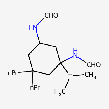 CCCC1(CCC)CC(NC=O)C[C](NC=O)([Ti]([CH3])[CH3])C1